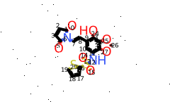 O=C1C=CC(=O)N1/C=C/c1cc(NS(=O)(=O)c2cccs2)c2c(c1O)OCO2